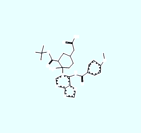 COc1ccc(C(=O)Nc2c3ncnc-3ncn2C2(N)CCC(CC(=O)O)CC2C(=O)OC(C)(C)C)cc1